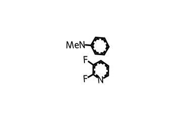 CNc1ccccc1.Fc1cccnc1F